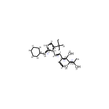 C=CC(/C=N/n1c(C(C)(C)C)cs/c1=N\C1CCCCC1)=C(O)\C(O)=C(/C)O